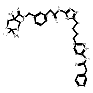 CC1(C)OCC(C)(C(=O)NCc2cccc(CC(=O)Nc3nnc(CCCCc4ccc(NC(=O)Cc5ccccc5)nn4)s3)c2)CO1